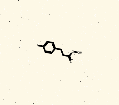 O=C(CCc1ccc(F)cc1)OO